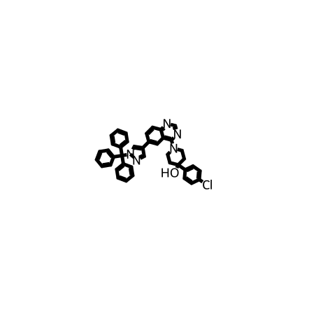 OC1(c2ccc(Cl)cc2)CCN(c2ncnc3ccc(-c4cnn(C(c5ccccc5)(c5ccccc5)c5ccccc5)c4)cc23)CC1